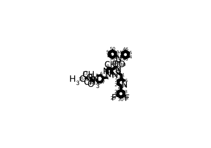 Cc1nn(CC2CCN(C(=O)OC(C)(C)C)CC2)c2nc(Cc3ccc(-c4cc(F)cc(F)c4)nc3)nc(OC(=O)N(c3ccccc3)c3ccccc3)c12